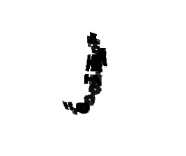 COc1ccc(-c2ccc(CNCCCNc3nsc4cc(C(F)(F)F)ccc34)cc2)cc1